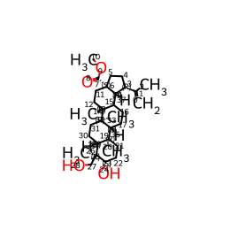 C=C(C)[C@@H]1CC[C@]2(C(=O)OC)CC[C@]3(C)C(CC[C@@H]4[C@@]5(C)CC[C@H](O)[C@@](C)(CO)[C@@H]5CC[C@]43C)[C@@H]12